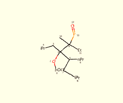 CCCCCCCCOC(CC(C)C)(C(CCC)CC(C)C)C(C)(CC)P=O